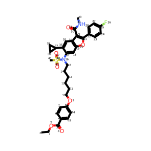 CCOC(=O)c1ccc(OCCCCCCN(c2cc3oc(-c4ccc(F)cc4)c(C(=O)NC)c3cc2C2CC2)S(C)(=O)=O)cc1